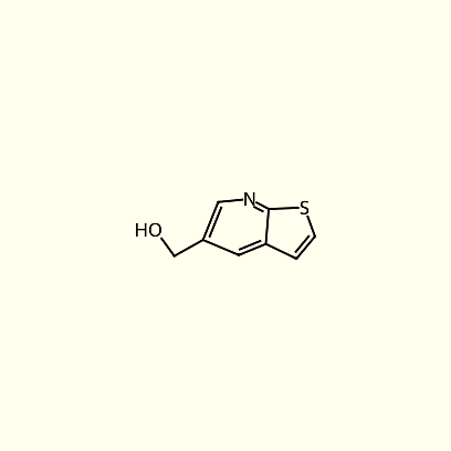 OCc1cnc2sccc2c1